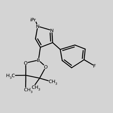 CC(C)n1cc(B2OC(C)(C)C(C)(C)O2)c(-c2ccc(F)cc2)n1